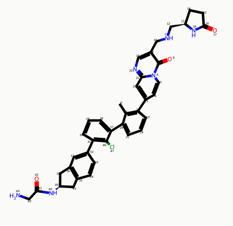 Cc1c(-c2ccn3c(=O)c(CNC[C@H]4CCC(=O)N4)cnc3c2)cccc1-c1cccc(-c2ccc3c(c2)C[C@@H](NC(=O)CN)C3)c1Cl